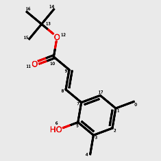 Cc1cc(C)c(O)c(/C=C/C(=O)OC(C)(C)C)c1